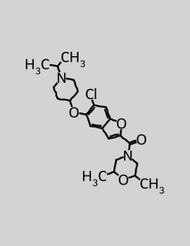 CC1CN(C(=O)c2cc3cc(OC4CCN(C(C)C)CC4)c(Cl)cc3o2)CC(C)O1